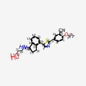 CC(C)Oc1ccc(-c2ncc(-c3cccc4c3CC[C@H]4NCCO)s2)cc1C#N